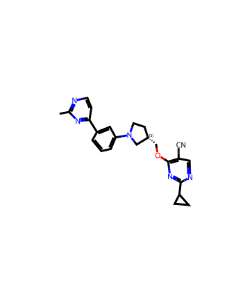 Cc1nccc(-c2cccc(N3CC[C@H](COc4nc(C5CC5)ncc4C#N)C3)c2)n1